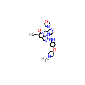 C#Cc1cc2cnc(Nc3ccc(OC4CCN(C)CC4)cc3)nc2n(Cc2nccnc2N2CCOCC2)c1=O